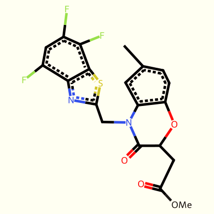 COC(=O)CC1Oc2ccc(C)cc2N(Cc2nc3c(F)cc(F)c(F)c3s2)C1=O